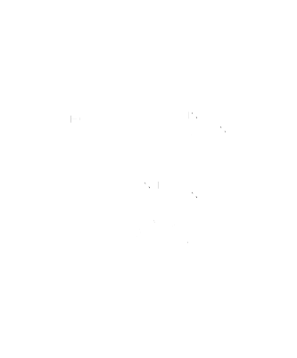 O=c1c(NCc2ccc(O)cc2)c(Nc2ccc3[nH]cnc3c2)c1=O